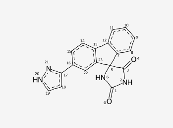 O=C1NC(=O)C2(N1)c1ccccc1-c1ccc(-c3cc[nH]n3)cc12